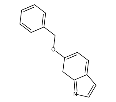 C1=CC2=CC=C(OCc3ccccc3)CC2=N1